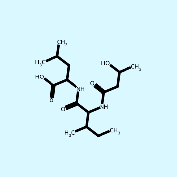 CCC(C)C(NC(=O)CC(C)O)C(=O)NC(CC(C)C)C(=O)O